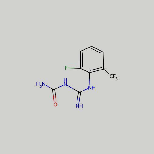 N=C(NC(N)=O)Nc1c(F)cccc1C(F)(F)F